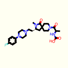 CC(NC(=O)O)C(=O)N1CCC2(CC1)C[C@H](CCN1CCN(c3ccc(F)cc3)CC1)N(C)C2=O